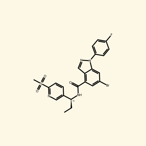 CC[C@H](NC(=O)c1cc(Br)cc2c1cnn2-c1ccc(F)cc1)c1ccc(S(C)(=O)=O)nc1